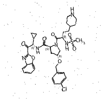 CS(=O)(=O)N[C@H](CCC1CCNCC1)C(=O)N1C[C@H](OCc2ccc(Cl)cc2)C[C@H]1C(=O)N[C@H](C(=O)c1nc2ccccc2o1)C1CC1